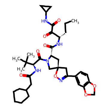 CCC[C@H](NC(=O)[C@@H]1C[C@]2(CC(c3ccc4c(c3)OCO4)=NO2)CN1C(=O)[C@@H](NC(=O)CC1CCCCC1)C(C)(C)C)C(=O)C(=O)NC1CC1